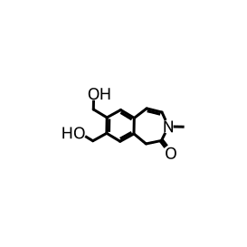 CN1C=Cc2cc(CO)c(CO)cc2CC1=O